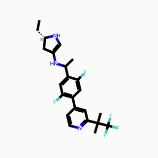 CC[C@H]1CC(NC(C)c2cc(F)c(-c3ccnc(C(C)(C)C(F)(F)F)c3)cc2F)=CN1